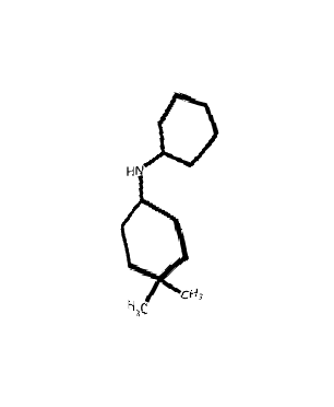 CC1(C)CCC(NC2CCCCC2)CC1